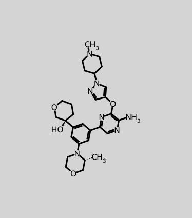 C[C@@H]1COCCN1c1cc(-c2cnc(N)c(Oc3cnn(C4CCN(C)CC4)c3)n2)cc([C@@]2(O)CCCOC2)c1